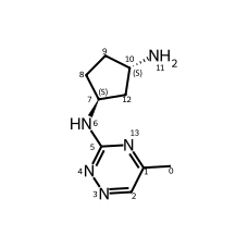 Cc1cnnc(N[C@H]2CC[C@H](N)C2)n1